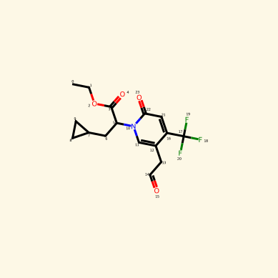 CCOC(=O)C(CC1CC1)n1cc(CC=O)c(C(F)(F)F)cc1=O